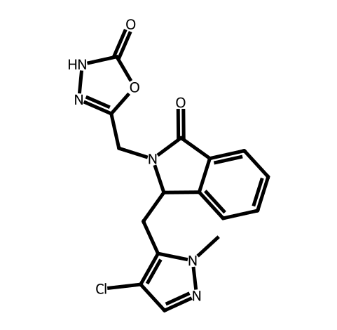 Cn1ncc(Cl)c1CC1c2ccccc2C(=O)N1Cc1n[nH]c(=O)o1